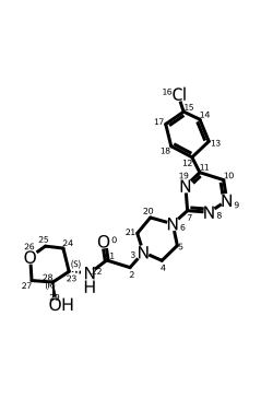 O=C(CN1CCN(c2nncc(-c3ccc(Cl)cc3)n2)CC1)N[C@H]1CCOC[C@@H]1O